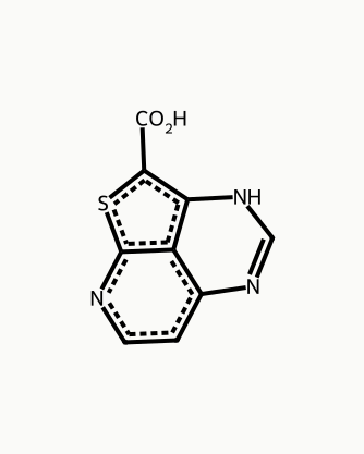 O=C(O)c1sc2nccc3c2c1NC=N3